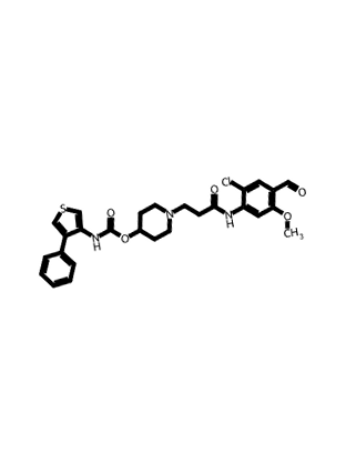 COc1cc(NC(=O)CCN2CCC(OC(=O)Nc3cscc3-c3ccccc3)CC2)c(Cl)cc1C=O